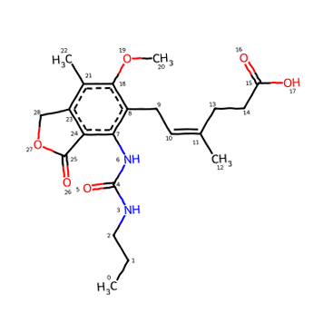 CCCNC(=O)Nc1c(CC=C(C)CCC(=O)O)c(OC)c(C)c2c1C(=O)OC2